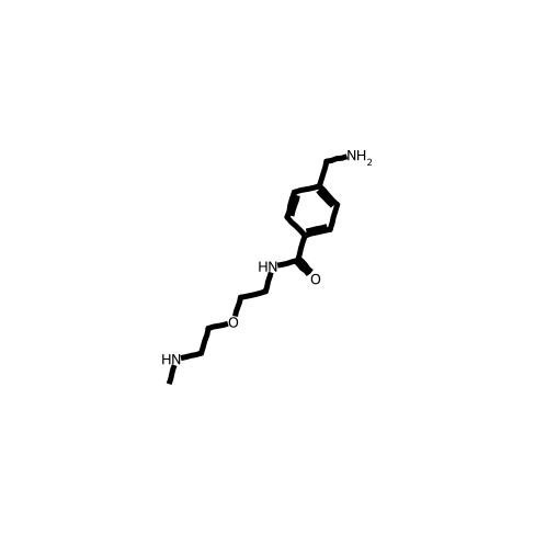 CNCCOCCNC(=O)c1ccc(CN)cc1